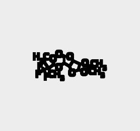 CCC(C)(C(=O)OC1C(=O)OC2C3OC(C)(C)OC3OC12)C(F)(F)F